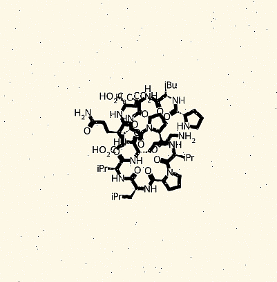 CC[C@H](C)[C@H](NC(=O)[C@@H]1CCCN1)C(=O)N[C@@H](C)C(=O)N[C@@H](CCC(=O)O)C(=O)N1CCC[C@H]1C(=O)N[C@H](C(=O)N1CCC[C@H]1C(=O)N[C@@H](CC(C)C)C(=O)N[C@H](C(=O)N[C@@H](CCCCN)C(=O)N[C@@H](CCC(N)=O)C(=O)N[C@@H](CC(=O)O)C(=O)O)C(C)C)C(C)C